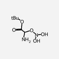 CC(C)(C)OC(=O)C(N)ON(O)O